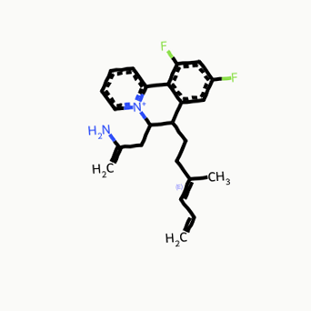 C=C/C=C(\C)CCC1c2cc(F)cc(F)c2-c2cccc[n+]2C1CC(=C)N